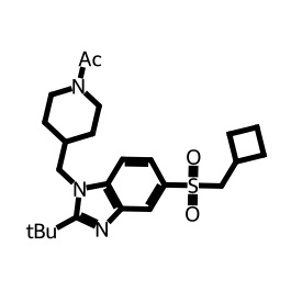 CC(=O)N1CCC(Cn2c(C(C)(C)C)nc3cc(S(=O)(=O)CC4CCC4)ccc32)CC1